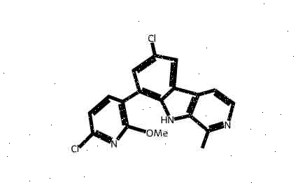 COc1nc(Cl)ccc1-c1cc(Cl)cc2c1[nH]c1c(C)nccc12